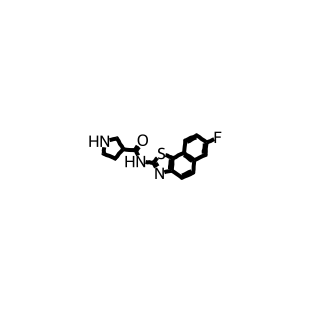 O=C(Nc1nc2ccc3cc(F)ccc3c2s1)C1CCNC1